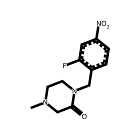 CN1CCN(Cc2ccc([N+](=O)[O-])cc2F)C(=O)C1